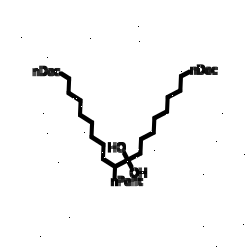 CCCCCCCCCCCCCCCCCCC(CCCCC)C(O)(O)CCCCCCCCCCCCCCCCCC